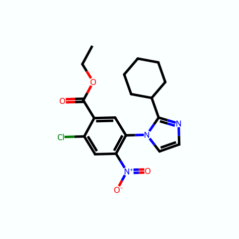 CCOC(=O)c1cc(-n2ccnc2C2CCCCC2)c([N+](=O)[O-])cc1Cl